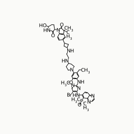 CCc1cc(Nc2ncc(Br)c(Nc3ccc4nccnc4c3P(C)(C)=O)n2)c(OC)cc1N1CCC(NCCNC2CC(c3ccc4c(c3)C(C)(C)C(=O)N4C3CCC(O)NC3=O)C2)CC1